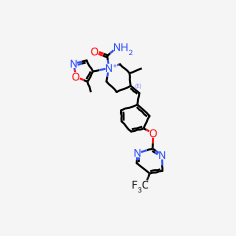 Cc1oncc1[N+]1(C(N)=O)CC/C(=C\c2cccc(Oc3ncc(C(F)(F)F)cn3)c2)C(C)C1